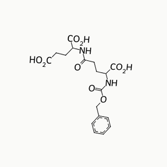 O=C(O)CCC(NC(=O)CCC(NC(=O)OCc1ccccc1)C(=O)O)C(=O)O